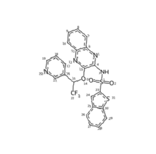 O=S(=O)(Nc1nc2ccccc2nc1OC(c1cccnc1)C(F)(F)F)c1cc2ccccc2s1